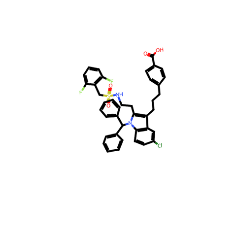 O=C(O)c1ccc(CCCc2c(CCNS(=O)(=O)Cc3c(F)cccc3F)n(C(c3ccccc3)c3ccccc3)c3ccc(Cl)cc23)cc1